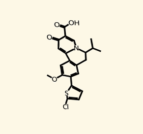 COc1cc2c(cc1-c1ccc(Cl)s1)CC(C(C)C)n1cc(C(=O)O)c(=O)cc1-2